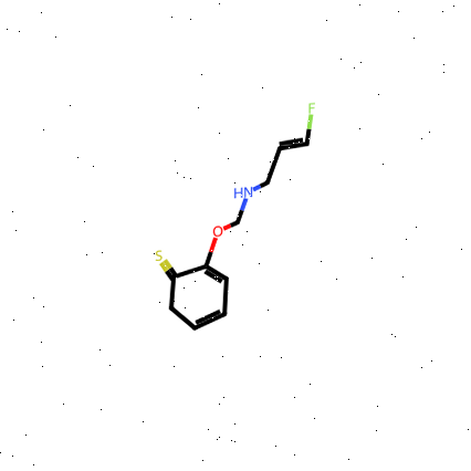 FC=CCNCOC1=CC=CCC1=S